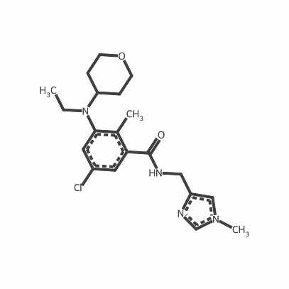 CCN(c1cc(Cl)cc(C(=O)NCc2cn(C)cn2)c1C)C1CCOCC1